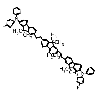 C=C(/C=C1\C(=C/C)c2ccc(/C=C/c3ccc4c(c3)C(C)(C)c3cc(N(c5ccccc5)c5ccc(F)cc5)ccc3-4)cc2C1(C)C)/C=C/c1ccc2c(c1)C(C)(C)c1cc(N(c3ccccc3)c3ccc(F)cc3)ccc1-2